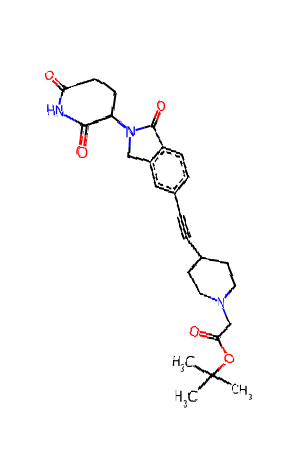 CC(C)(C)OC(=O)CN1CCC(C#Cc2ccc3c(c2)CN(C2CCC(=O)NC2=O)C3=O)CC1